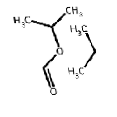 CC(C)OC=O.CCC